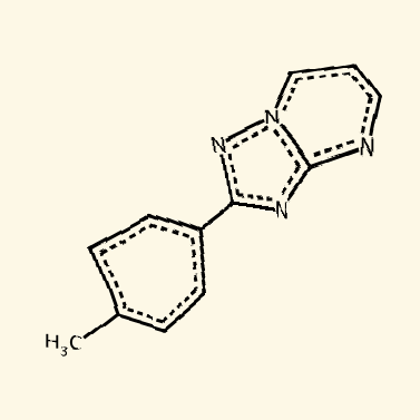 Cc1ccc(-c2nc3ncccn3n2)cc1